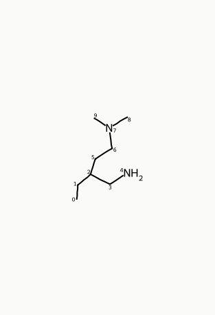 CCC(CN)CCN(C)C